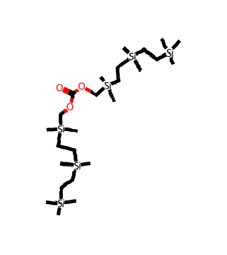 C[Si](C)(C)CC[Si](C)(C)CC[Si](C)(C)COC(=O)OC[Si](C)(C)CC[Si](C)(C)CC[Si](C)(C)C